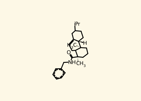 CC(C)C1CC[C@H]2C(=CCC3[C@](C)(C(=O)NCc4ccccc4)CCC[C@@]32C)C1